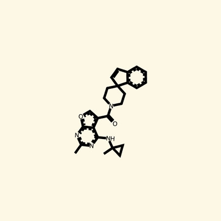 Cc1nc(NC2(C)CC2)c2c(C(=O)N3CCC4(C=Cc5ccccc54)CC3)coc2n1